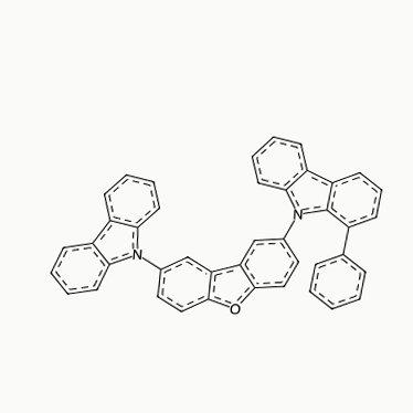 c1ccc(-c2cccc3c4ccccc4n(-c4ccc5oc6ccc(-n7c8ccccc8c8ccccc87)cc6c5c4)c23)cc1